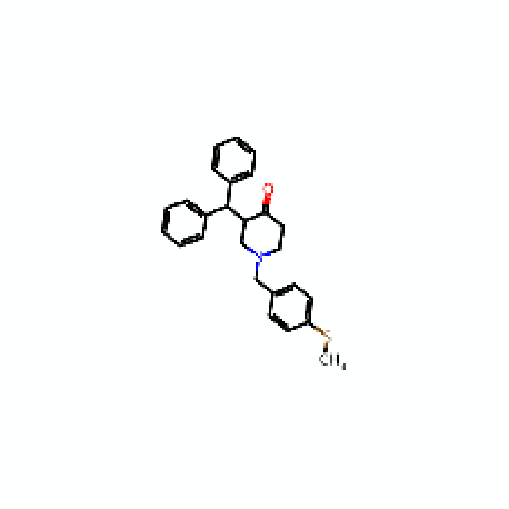 CSc1ccc(CN2CCC(=O)C(C(c3ccccc3)c3ccccc3)C2)cc1